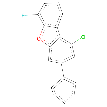 Fc1cccc2c1oc1cc(-c3ccccc3)cc(Cl)c12